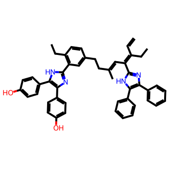 C=C/C(CC)=C(\C=C(/C)CCc1ccc(CC)c(-c2nc(-c3ccc(O)cc3)c(-c3ccc(O)cc3)[nH]2)c1)c1nc(-c2ccccc2)c(-c2ccccc2)[nH]1